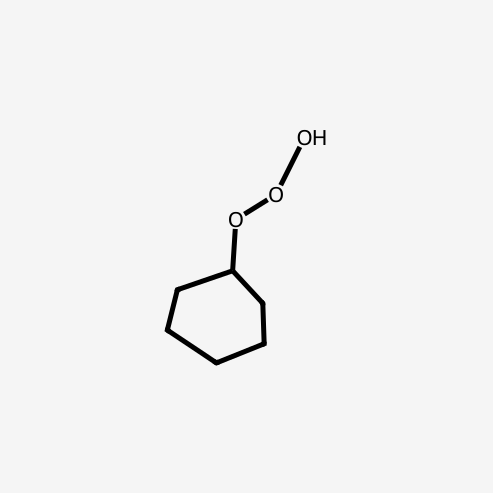 OOOC1CCCCC1